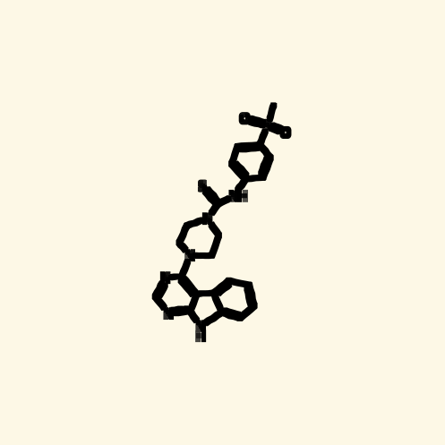 CS(=O)(=O)c1ccc(NC(=S)N2CCN(c3ncnc4[nH]c5ccccc5c34)CC2)cc1